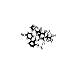 COc1ccccc1[C@H](CN1c2sc(-n3cccn3)c(C)c2C(=O)N(C(C)(C)C(=O)O)C1O)O[C@H]1CC[C@@H](O)CC1